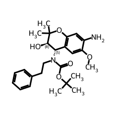 COc1cc2c(cc1N)OC(C)(C)[C@H](O)[C@H]2N(CCc1ccccc1)C(=O)OC(C)(C)C